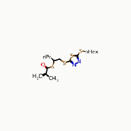 C=C(C)C(=O)SC(CCC)CSc1nnc(SCCCCCC)s1